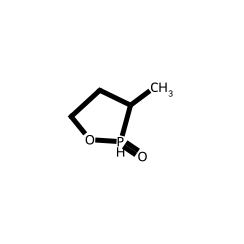 CC1CCO[PH]1=O